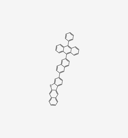 c1ccc(-c2c3ccccc3c(-c3ccc4cc(-c5ccc6c(c5)sc5cc7ccccc7cc56)ccc4c3)c3ccccc23)cc1